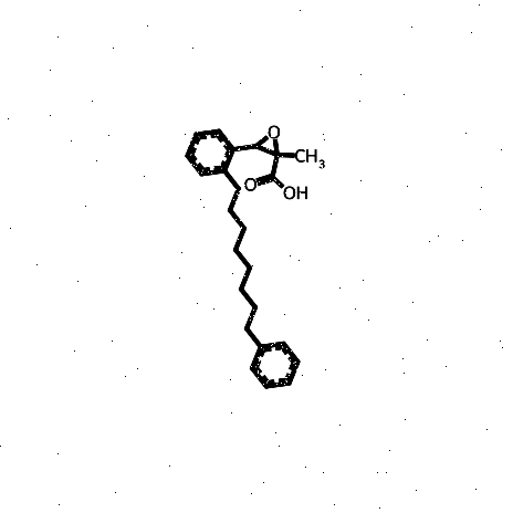 CC1(C(=O)O)OC1c1ccccc1CCCCCCCCc1ccccc1